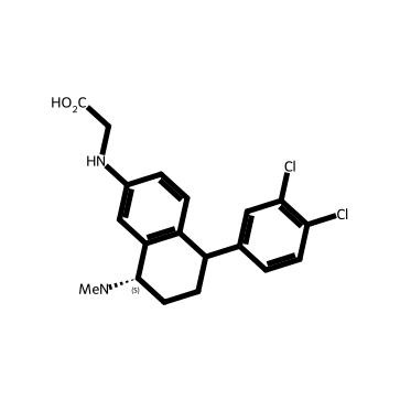 CN[C@H]1CCC(c2ccc(Cl)c(Cl)c2)c2ccc(NCC(=O)O)cc21